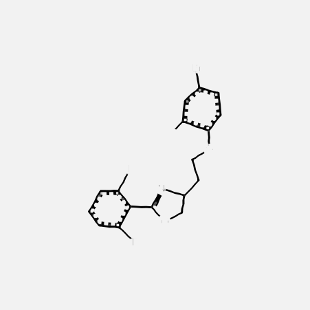 Fc1cc(Br)ccc1OCCC1COC(c2c(F)cccc2F)=N1